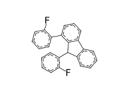 Fc1ccccc1-c1cccc2c1C(c1ccccc1F)c1ccccc1-2